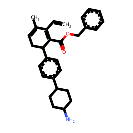 C=CC1=C(C(=O)OCc2ccccc2)C(c2ccc(C3CCC(N)CC3)cc2)CC=C1C